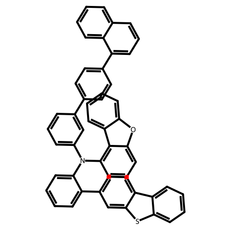 c1cc(-c2ccc(-c3cccc4ccccc34)cc2)cc(N(c2ccccc2-c2ccc3c(c2)sc2ccccc23)c2cccc3oc4ccccc4c23)c1